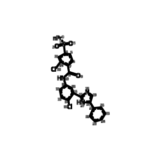 CCCS(=O)(=O)c1ccc(C(=O)Nc2ccc(Cl)c(-c3ncc(-c4ccccc4)[nH]3)c2)c(Cl)c1